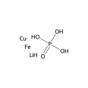 O=P(O)(O)O.[Cu].[Fe].[LiH]